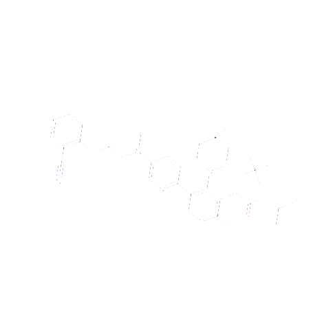 Cc1ncc(-c2ccc(N(C)CCOc3ccc(F)cc3C#N)cn2)c(N2CCC(C)(C)CC2)c1[C@H](OC(C)(C)C)C(=O)OC(C)C